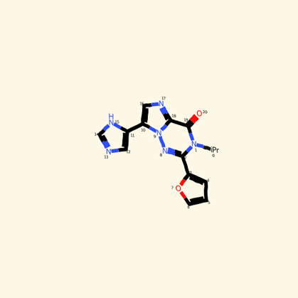 CC(C)n1c(-c2ccco2)nn2c(-c3cnc[nH]3)cnc2c1=O